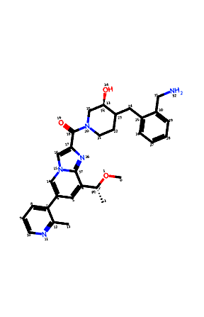 CO[C@H](C)c1cc(-c2cccnc2C)cn2cc(C(=O)N3CCC(Cc4ccccc4CN)[C@H](O)C3)nc12